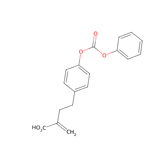 C=C(CCc1ccc(OC(=O)Oc2ccccc2)cc1)C(=O)O